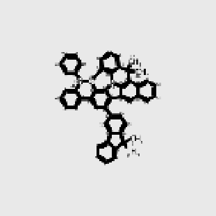 CC1(C)c2ccccc2-c2cc(-c3cc4c5c6c3c3cc7ccccc7c7c3n6-c3c(cccc3C7(C)C)B5N(c3ccccc3)c3ccccc3-4)ccc21